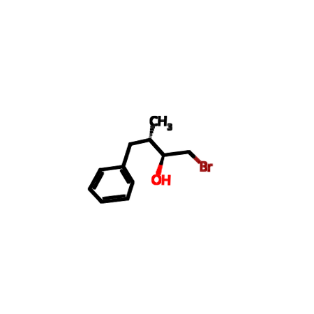 C[C@@H](Cc1ccccc1)[C@H](O)CBr